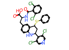 O=C(NC(Cc1ccc2c(c1)C(Sc1ccccc1)CC(c1c(Cl)cncc1Cl)N2)C(=O)O)c1c(Cl)cccc1Cl